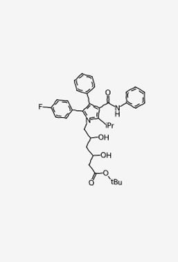 CC(C)c1c(C(=O)Nc2ccccc2)c(-c2ccccc2)c(-c2ccc(F)cc2)n1CC(O)CC(O)CC(=O)OC(C)(C)C